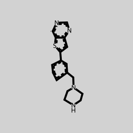 [c]1ncnc2cc(-c3cccc(CN4CCNCC4)c3)sc12